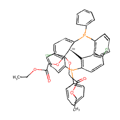 CCOC(=O)COC1(OCC(=O)OCC)C(Cl)=CC=C(P(c2ccccc2)c2ccccc2)[C@H]1c1cc(Cl)ccc1P(c1ccccc1)c1ccccc1